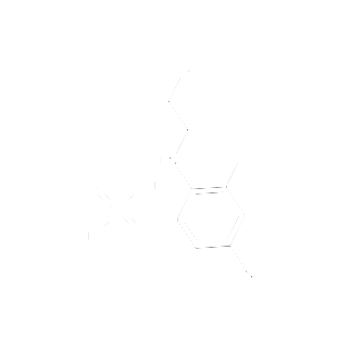 Nc1ccc(NCCO)c(Cl)c1.O=S(=O)(O)O